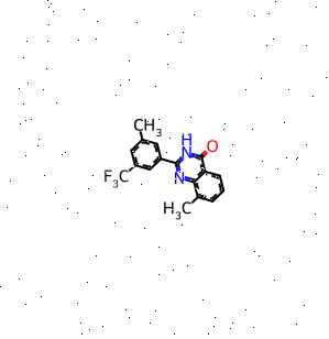 Cc1cc(-c2nc3c(C)cccc3c(=O)[nH]2)cc(C(F)(F)F)c1